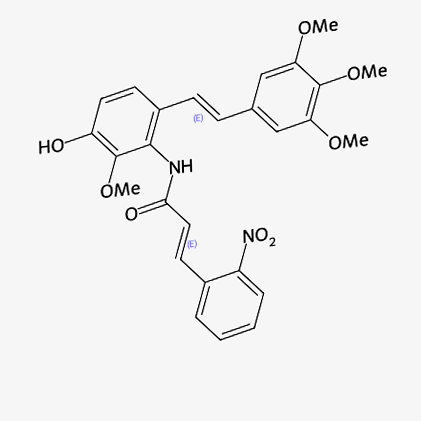 COc1cc(/C=C/c2ccc(O)c(OC)c2NC(=O)/C=C/c2ccccc2[N+](=O)[O-])cc(OC)c1OC